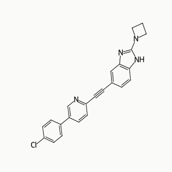 Clc1ccc(-c2ccc(C#Cc3ccc4[nH]c(N5CCC5)nc4c3)nc2)cc1